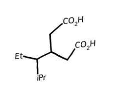 CCC(C(C)C)C(CC(=O)O)CC(=O)O